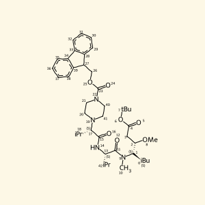 CC[C@H](C)[C@@H](C(CC(=O)OC(C)(C)C)OC)N(C)C(=O)[C@@H](NC(=O)[C@H](C(C)C)N1CCN(C(=O)OCC2c3ccccc3-c3ccccc32)CC1)C(C)C